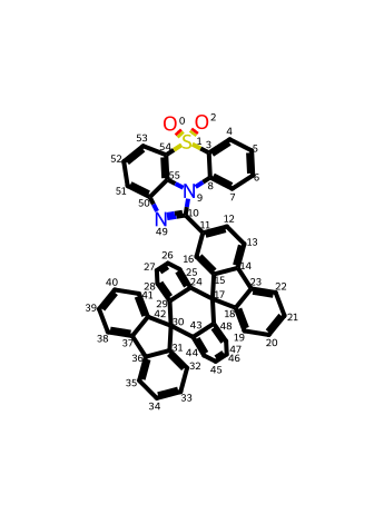 O=S1(=O)c2ccccc2-n2c(-c3ccc4c(c3)C3(c5ccccc5-4)c4ccccc4C4(c5ccccc5-c5ccccc54)c4ccccc43)nc3cccc1c32